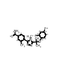 Cn1c(-c2ccc(C(N)=O)cc2C(F)(F)F)nnc1C(C)(C)Oc1ccc(F)cc1F